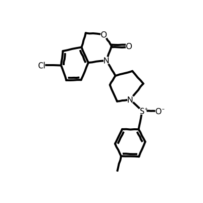 Cc1ccc([S+]([O-])N2CCC(N3C(=O)OCc4cc(Cl)ccc43)CC2)cc1